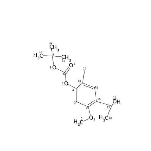 COc1cc(OC(=O)OC(C)(C)C)c(I)cc1C(C)O